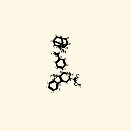 COC(=O)[C@H]1Cc2c([nH]c3ccccc23)[C@H](c2ccc(C(=O)NC34CC5CC(CC(C5)C3)C4)cc2)N1